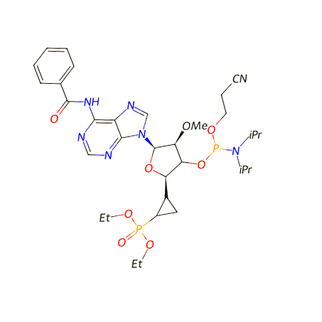 CCOP(=O)(OCC)C1CC1[C@H]1O[C@@H](n2cnc3c(NC(=O)c4ccccc4)ncnc32)[C@@H](OC)C1OP(OCCC#N)N(C(C)C)C(C)C